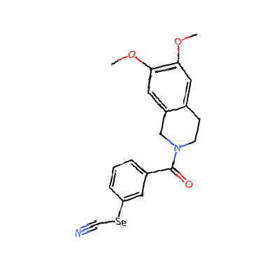 COc1cc2c(cc1OC)CN(C(=O)c1cccc([Se]C#N)c1)CC2